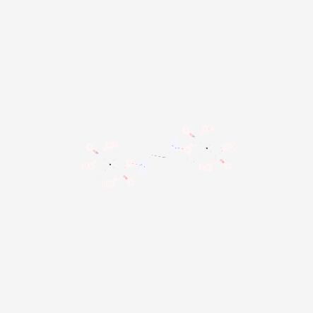 CC(C)(P(=O)(O)O)P(=O)(O)ONCCNOP(=O)(O)C(C)(C)P(=O)(O)O